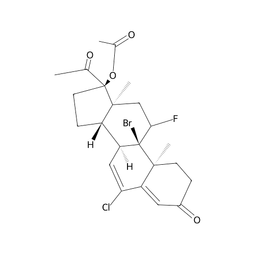 CC(=O)O[C@]1(C(C)=O)CC[C@H]2[C@@H]3C=C(Cl)C4=CC(=O)CC[C@]4(C)[C@@]3(Br)C(F)C[C@@]21C